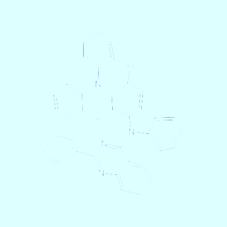 c1ccc(-c2nc(-n3c4ccccc4c4cc5c6c(c43)Oc3ccccc3N6c3ccccc3O5)c3ccccc3n2)cc1